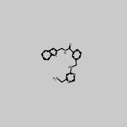 NCc1cc(NCc2cccc(C(=O)NCc3cc4ccccc4s3)c2)ncn1